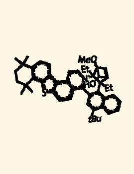 CCC12C3=CC(OC)(C3O)C1(CC)[n+]1ccc3c(ccc4sc5c6c(ccc5c43)C(C)(C)CCC6(C)C)c1-c1cc(C(C)(C)C)c3ccccc3c12